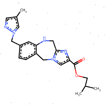 Cc1cnn(Cc2ccc3c(c2)NCc2nc(C(=O)OCC(C)C)cn2C3)c1